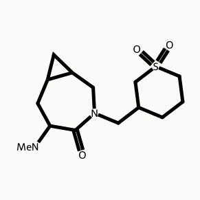 CNC1CC2CC2CN(CC2CCCS(=O)(=O)C2)C1=O